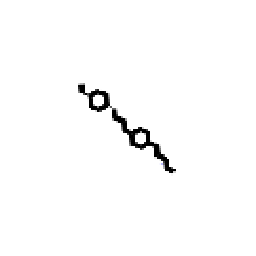 C/C=C/CCC1CCC(CCCC[C@H]2CC[C@H](CC)CC2)CC1